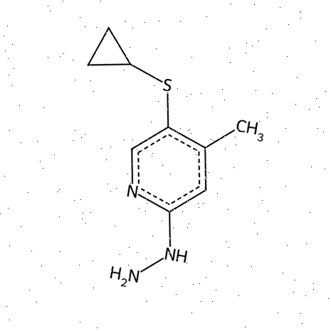 Cc1cc(NN)ncc1SC1CC1